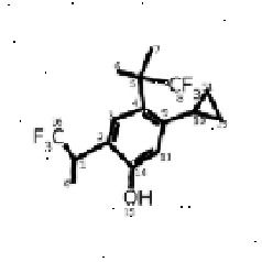 CC(c1cc(C(C)(C)C(F)(F)F)c(C2CC2)cc1O)C(F)(F)F